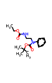 CCOC(=O)NCCN(C(=O)OC(C)(C)C)c1ccccc1